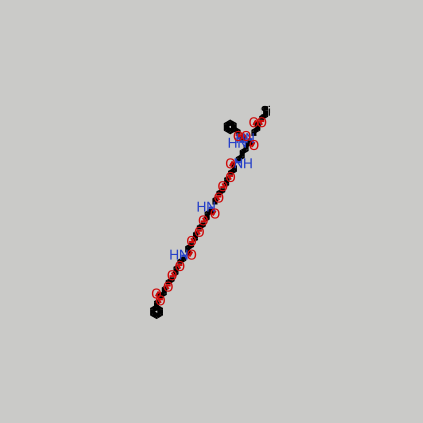 C[Si](C)(C)CCOC(=O)CCCNC(=O)C(CCCCNC(=O)CCOCCOCCOCCNC(=O)CCOCCOCCOCCC(=O)NCCOCCOCCOCCC(=O)OCc1ccccc1)NC(=O)OCc1ccccc1